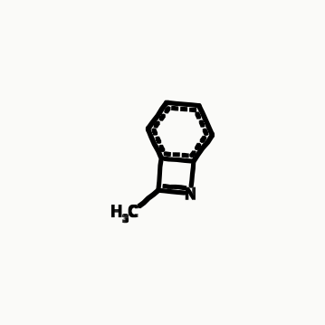 CC1=Nc2ccccc21